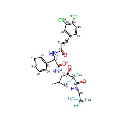 CC(C)[C@H](NC(=O)C(NC(=O)/C=C/c1ccc(Cl)c(Cl)c1)c1ccccc1)C(=O)C(F)(F)C(=O)NCC(F)(F)F